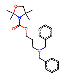 CC1(C)COC(C)(C)N1C(=O)OCCCN(Cc1ccccc1)Cc1ccccc1